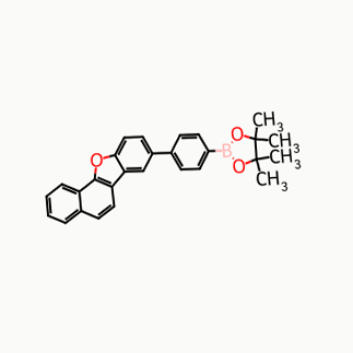 CC1(C)OB(c2ccc(-c3ccc4oc5c6ccccc6ccc5c4c3)cc2)OC1(C)C